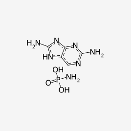 NP(=O)(O)O.Nc1ncc2[nH]c(N)nc2n1